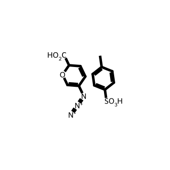 Cc1ccc(S(=O)(=O)O)cc1.[N-]=[N+]=NC1=COC(C(=O)O)C=C1